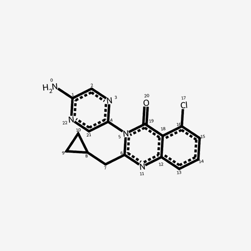 Nc1cnc(-n2c(CC3CC3)nc3cccc(Cl)c3c2=O)cn1